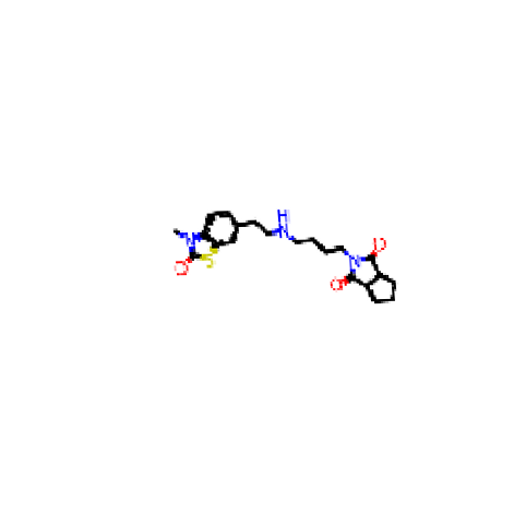 Cn1c(=O)sc2cc(CCNCCCCN3C(=O)C4CCCC4C3=O)ccc21